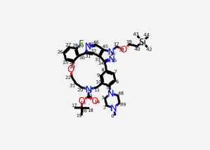 CN1CCN(c2ccc3cc2CN(C(=O)OC(C)(C)C)CCCOc2cccc(F)c2-c2cc4c-3nn(COCC[Si](C)(C)C)c4cn2)CC1